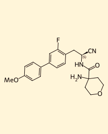 COc1ccc(-c2ccc(C[C@@H](C#N)NC(=O)C3(N)CCOCC3)c(F)c2)cc1